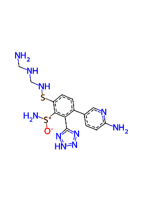 NCNCNSc1ccc(-c2ccc(N)nc2)c(-c2nn[nH]n2)c1[S+](N)[O-]